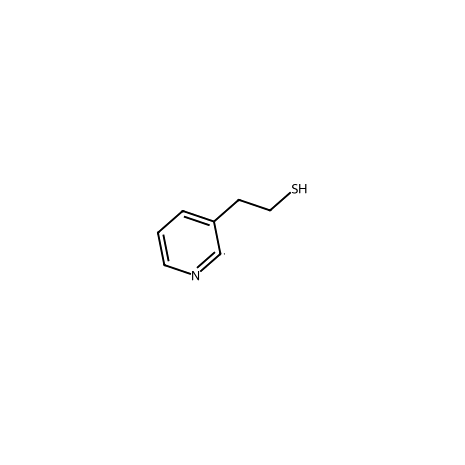 SCCc1[c]nccc1